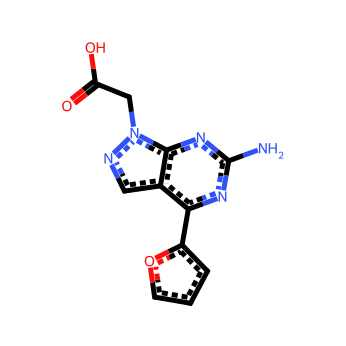 Nc1nc(-c2ccco2)c2cnn(CC(=O)O)c2n1